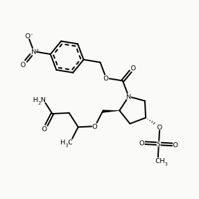 CC(CC(N)=O)OC[C@@H]1C[C@@H](OS(C)(=O)=O)CN1C(=O)OCc1ccc([N+](=O)[O-])cc1